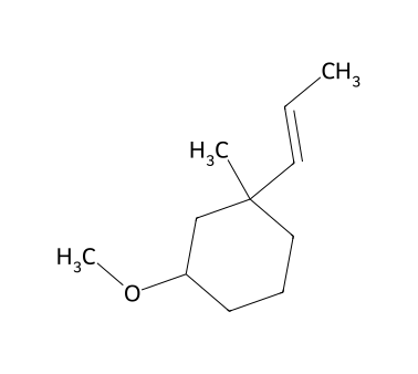 C/C=C/C1(C)CCCC(OC)C1